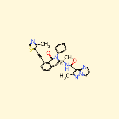 Cc1ncsc1C#Cc1cccc2cc([C@H](C)NC(=O)c3c(C)nn4cccnc34)n(-c3ccccc3)c(=O)c12